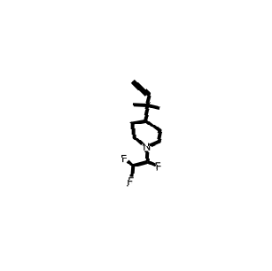 C=CC(C)(C)C1CCN(C(F)C(F)F)CC1